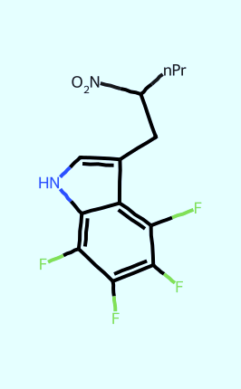 CCCC(Cc1c[nH]c2c(F)c(F)c(F)c(F)c12)[N+](=O)[O-]